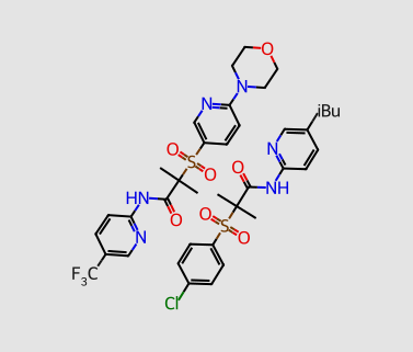 CC(C)(C(=O)Nc1ccc(C(F)(F)F)cn1)S(=O)(=O)c1ccc(N2CCOCC2)nc1.CCC(C)c1ccc(NC(=O)C(C)(C)S(=O)(=O)c2ccc(Cl)cc2)nc1